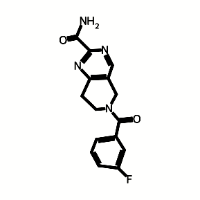 NC(=O)c1ncc2c(n1)CCN(C(=O)c1cccc(F)c1)C2